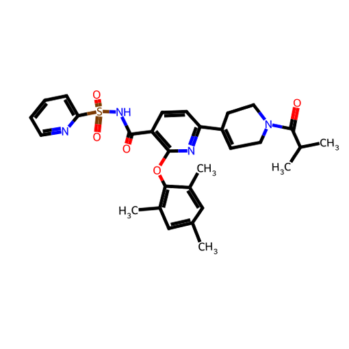 Cc1cc(C)c(Oc2nc(C3=CCN(C(=O)C(C)C)CC3)ccc2C(=O)NS(=O)(=O)c2ccccn2)c(C)c1